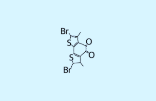 Cc1c(Br)sc2c1C(=O)C(=O)C1=C2SC(Br)C1C